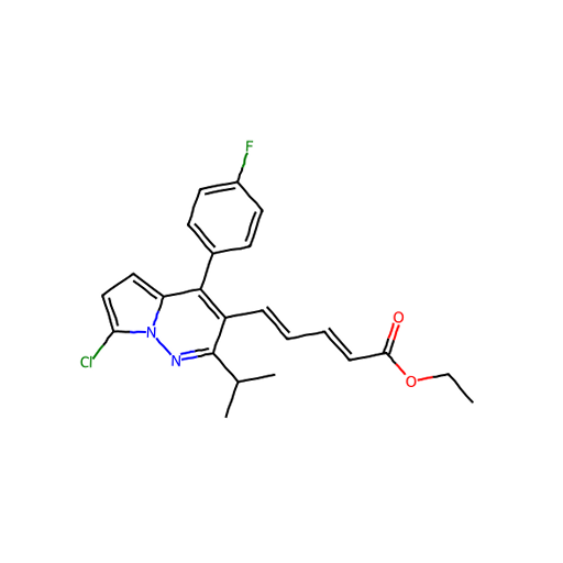 CCOC(=O)C=CC=Cc1c(C(C)C)nn2c(Cl)ccc2c1-c1ccc(F)cc1